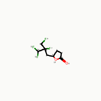 O=C1CCC(CC(F)(CF)C(F)F)O1